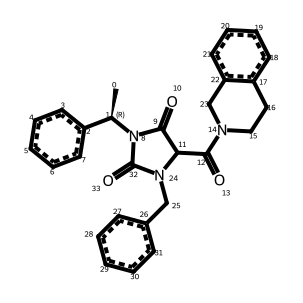 C[C@H](c1ccccc1)N1C(=O)C(C(=O)N2CCc3ccccc3C2)N(Cc2ccccc2)C1=O